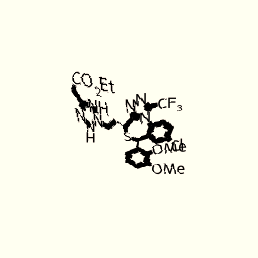 CCOC(=O)CC1=NNN(CC[C@H]2S[C@H](c3cccc(OC)c3OC)c3cc(Cl)ccc3-n3c2nnc3C(F)(F)F)N1